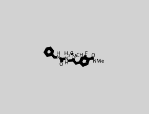 CNC(=O)c1ccc(CC(CNC(=O)NCc2ccccc2)N(C)C)cc1F